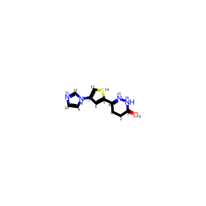 O=C1CCC(c2cc(-n3ccnc3)cs2)=NN1